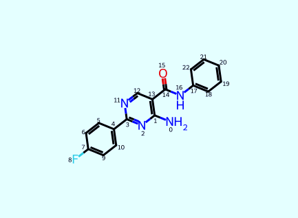 Nc1nc(-c2ccc(F)cc2)ncc1C(=O)Nc1ccccc1